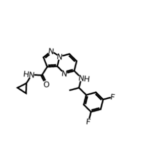 CC(Nc1ccn2ncc(C(=O)NC3CC3)c2n1)c1cc(F)cc(F)c1